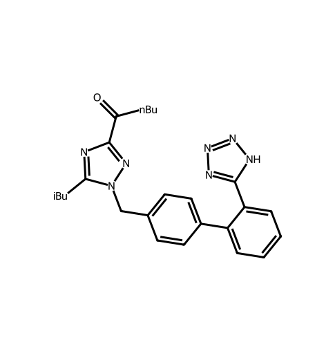 CCCCC(=O)c1nc(C(C)CC)n(Cc2ccc(-c3ccccc3-c3nnn[nH]3)cc2)n1